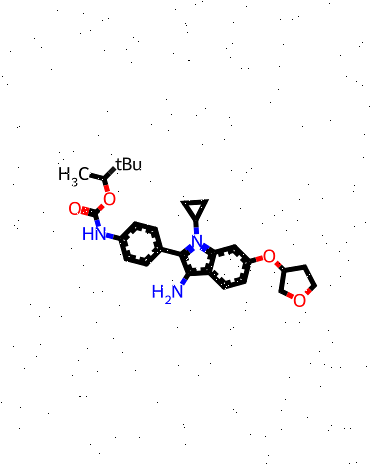 CC(OC(=O)Nc1ccc(-c2c(N)c3ccc(OC4CCOC4)cc3n2C2CC2)cc1)C(C)(C)C